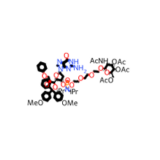 COc1ccc(C(OC(C(=O)COc2ccccc2)[C@H]2O[C@@H](n3cnc4c(=O)[nH]c(N)nc43)C[C@@H]2OP(=O)(OCCOCCOCCO[C@@H]2O[C@H](COC(C)=O)[C@H](OC(C)=O)[C@H](OC(C)=O)[C@H]2NC(C)=O)N(C(C)C)C(C)C)(c2ccccc2)c2ccc(OC)cc2)cc1